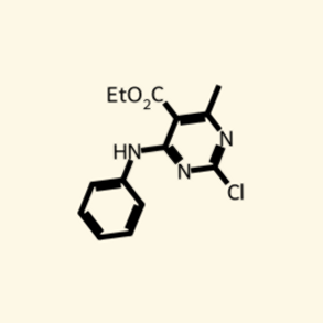 CCOC(=O)c1c(C)nc(Cl)nc1Nc1ccccc1